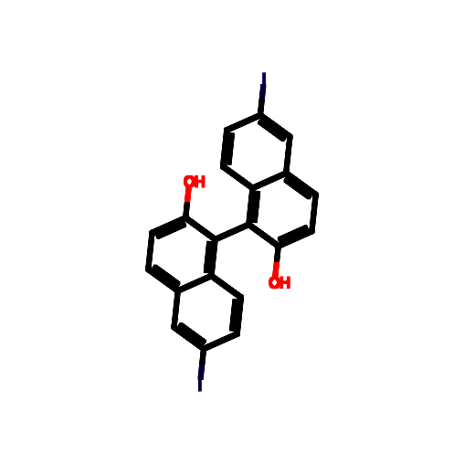 Oc1ccc2cc(I)ccc2c1-c1c(O)ccc2cc(I)ccc12